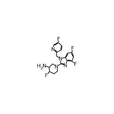 NC1CN(c2nc3c(F)cc(F)cc3n2Cc2ccc(F)cn2)CCC1F